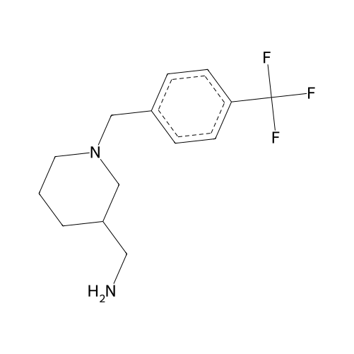 NCC1CCCN(Cc2ccc(C(F)(F)F)cc2)C1